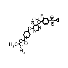 COc1c(Oc2ccc(S(=O)(=O)C3CC3)cc2F)ncnc1OC1CCN(C(=O)OC(C)C)CC1